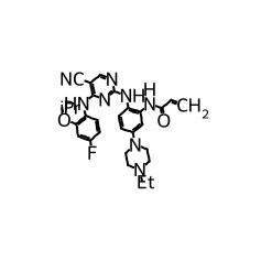 C=CC(=O)Nc1cc(N2CCN(CC)CC2)ccc1Nc1ncc(C#N)c(Nc2ccc(F)cc2OC(C)C)n1